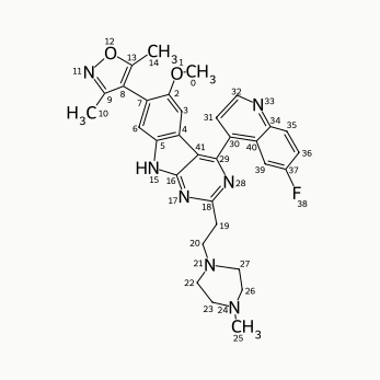 COc1cc2c(cc1-c1c(C)noc1C)[nH]c1nc(CCN3CCN(C)CC3)nc(-c3ccnc4ccc(F)cc34)c12